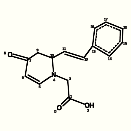 O=C(O)CN1C=CC(=O)CC1C=Cc1ccccc1